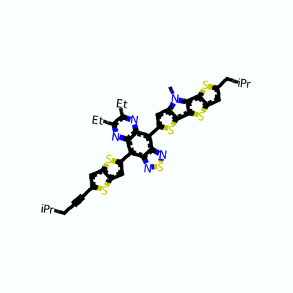 CCc1nc2c(-c3cc4sc(C#CCC(C)C)cc4s3)c3nsnc3c(-c3cc4c(s3)c3sc5cc(CC(C)C)sc5c3n4C)c2nc1CC